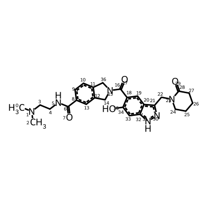 CN(C)CCNC(=O)c1ccc2c(c1)CN(C(=O)c1cc3c(CN4CCCCC4=O)n[nH]c3cc1O)C2